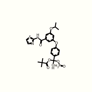 CC(C)Oc1cc(Oc2ccc(C(O)(O[PH2]=O)OC(=O)C(C)(C)C)cc2)cc(C(=O)Nc2nccs2)c1